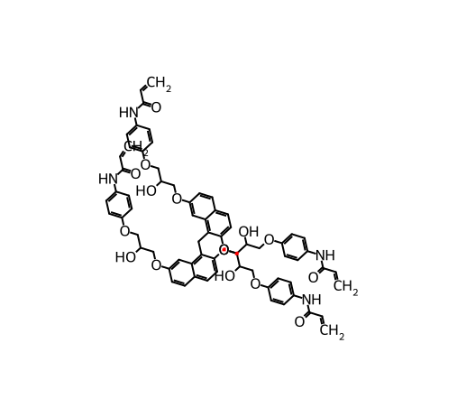 C=CC(=O)Nc1ccc(OCC(O)COc2ccc3ccc(OCC(O)COc4ccc(NC(=O)C=C)cc4)c(Cc4c(OCC(O)COc5ccc(NC(=O)C=C)cc5)ccc5ccc(OCC(O)COc6ccc(NC(=O)C=C)cc6)cc45)c3c2)cc1